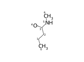 CCCC([O])NC